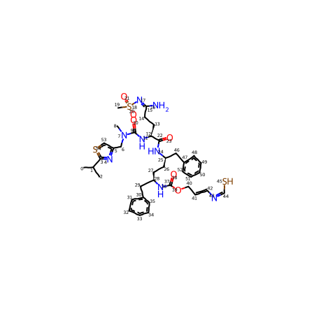 CC(C)c1nc(CN(C)C(=O)N[C@@H](CC/C(N)=N\S(C)(=O)=O)C(=O)N[C@H](CC[C@H](Cc2ccccc2)NC(=O)OC/C=C/N=C\S)Cc2ccccc2)cs1